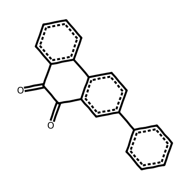 O=C1C(=O)c2cc(-c3ccccc3)ccc2-c2ccccc21